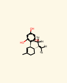 [2H]C([2H])=C([C@@H]1CCC(C)=C[C@H]1c1c(O)cc(O)cc1O)C([2H])([2H])[2H]